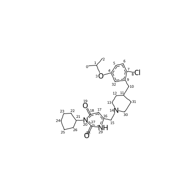 CC(C)Oc1ccc(Cl)c(CC2CCN(Cc3cc(=O)n(C4CCCCC4)c(=O)[nH]3)CC2)c1